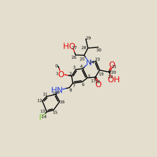 COc1cc2c(cc1CNc1ccc(F)cc1)c(=O)c(C(=O)O)cn2C(CO)C(C)C